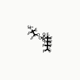 O=S(=O)(OOC(F)C(F)(F)F)C(F)(F)C(F)(F)C(F)(F)C(F)F.[Li]